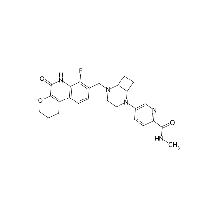 CNC(=O)c1ccc(N2CCN(Cc3ccc4c5c(c(=O)[nH]c4c3F)OCCC5)C3CCC32)cn1